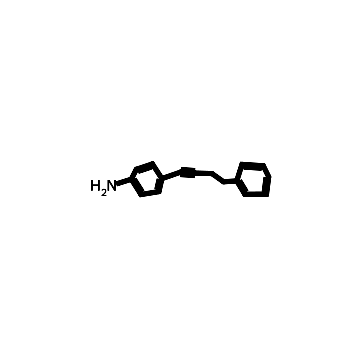 Nc1ccc(C#CCCc2ccccc2)cc1